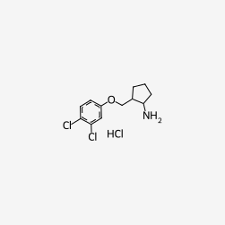 Cl.NC1CCCC1COc1ccc(Cl)c(Cl)c1